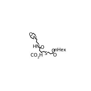 CCCCCCOC(=O)CCSCC(CC(=O)NCCCN1CCOCC1)C(=O)O